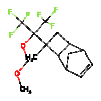 COCOC(C(F)(F)F)(C(F)(F)F)C1(C)CC2C3C=CC(C3)C21